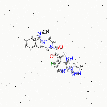 N#C/N=C(/c1ccccc1)N1CCN(C(=O)C(=O)c2c[nH]c3c(-n4ccnn4)ncc(F)c23)CC1